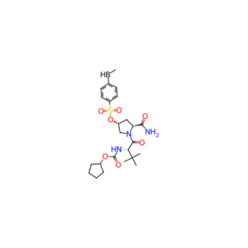 CBc1ccc(S(=O)(=O)O[C@H]2C[C@@H](C(N)=O)N(C(=O)[C@@H](NC(=O)OC3CCCC3)C(C)(C)C)C2)cc1